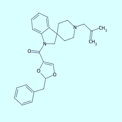 C=C(C)CN1CCC2(CC1)CN(C(=O)C1=COC(Cc3ccccc3)O1)c1ccccc12